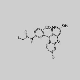 O=C(CI)Nc1ccc(C(=O)O)c(-c2c3ccc(=O)cc-3oc3cc(O)ccc23)c1